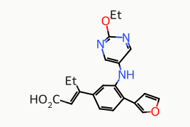 CCOc1ncc(Nc2cc(/C(=C/C(=O)O)CC)ccc2-c2ccoc2)cn1